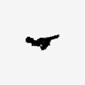 CCCCCCCC=CC1(C)CCc2c(C)c(OC(C)(CCC=CC(C)(CCC(CCCOc3ccc4c(c3)CCCO4)C(=O)O)C(=O)O)CC(C)C(C)C)c(C)c(C)c2O1